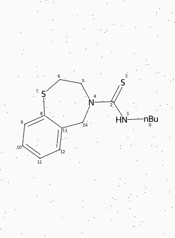 CCCCNC(=S)N1CCSc2ccccc2C1